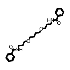 O=C(NCCCOCCCCOCCCNC(=O)c1ccccc1)c1ccccc1